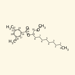 CCCCCCCCCC(COC)OC(=O)c1cc(C)cc(C)c1